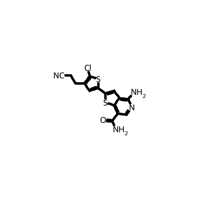 N#CCCc1cc(-c2cc3c(N)ncc(C(N)=O)c3s2)sc1Cl